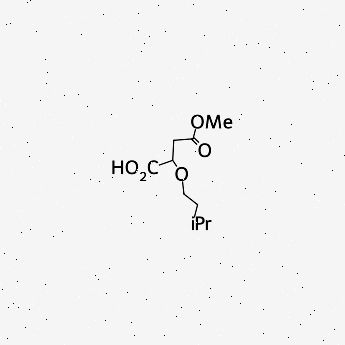 COC(=O)CC(OCCC(C)C)C(=O)O